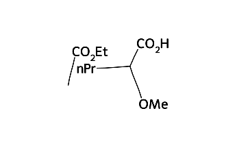 CCCC(OC)C(=O)O.CCOC(C)=O